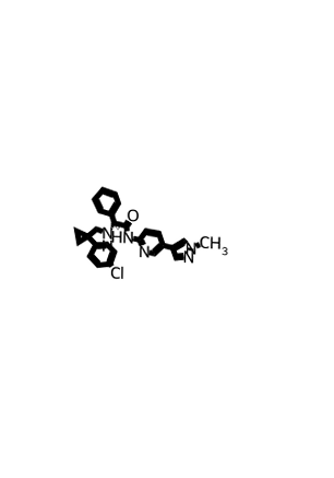 Cn1cc(-c2ccc(NC(=O)[C@H](NCC3(c4ccc(Cl)cc4)CC3)c3ccccc3)nc2)cn1